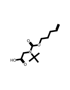 C=CCCCOC(=O)N(CC(=O)O)C(C)(C)C